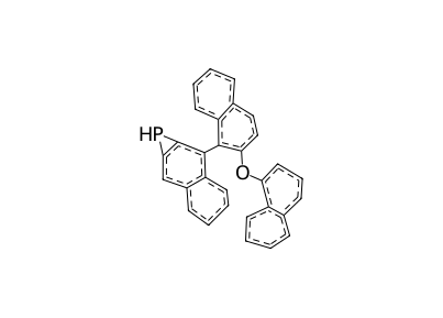 c1ccc2c(Oc3ccc4ccccc4c3-c3c4c(cc5ccccc35)P4)cccc2c1